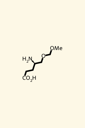 COCOC[C@H](N)CCC(=O)O